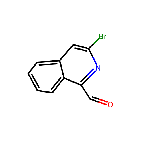 O=Cc1nc(Br)cc2ccccc12